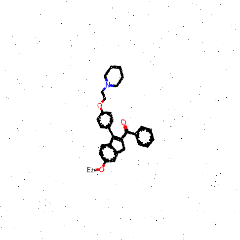 CCOc1ccc2c(c1)CC(C(=O)c1ccccc1)=C2c1ccc(OCCN2CCCCC2)cc1